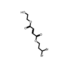 O=C(/C=C/C(=O)OCCC(Br)Br)OCCO